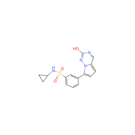 O=S(=O)(NC1CC1)c1cccc(-c2ccc3cnc(O)nn23)c1